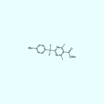 COC(=O)c1c(C)nc(C(F)(F)c2ccc(C(C)(C)C)cc2)nc1C